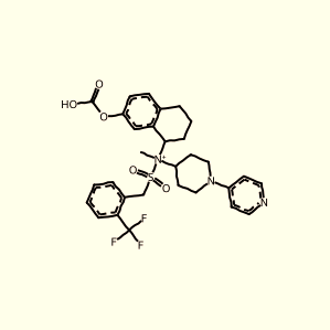 C[N+](C1CCN(c2ccncc2)CC1)(C1CCCc2ccc(OC(=O)O)cc21)S(=O)(=O)Cc1ccccc1C(F)(F)F